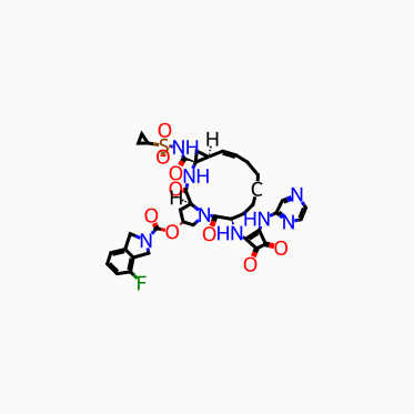 O=C1N[C@]2(C(=O)NS(=O)(=O)C3CC3)C[C@H]2/C=C\CCCCC[C@H](Nc2c(Nc3cnccn3)c(=O)c2=O)C(=O)N2C[C@H](OC(=O)N3Cc4cccc(F)c4C3)C[C@@H]12